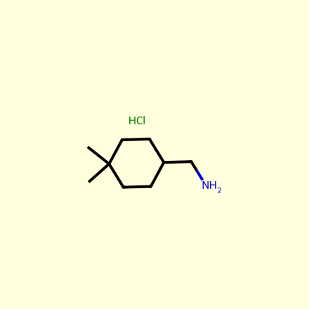 CC1(C)CCC(CN)CC1.Cl